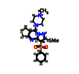 CSc1nn2c(N3CCN(C)CC3)c3c(nc2c1S(=O)(=O)c1ccccc1)CSC3